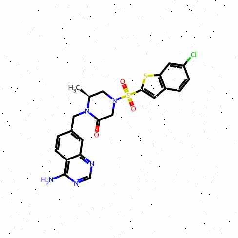 C[C@H]1CN(S(=O)(=O)c2cc3ccc(Cl)cc3s2)CC(=O)N1Cc1ccc2c(N)ncnc2c1